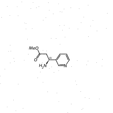 COC(=O)C[C@H](N)c1cccnc1